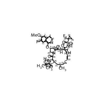 COc1cc2ccnc(O[C@@H]3C[C@H]4C(=O)N[C@]5(C(=O)NS(=O)(=O)C6(CF)CC6)C[C@H]5C=CCC[C@@H](C)C[C@@H](C)[C@H](NC(=O)C(C)(C)C(F)(F)F)C(=O)N4C3)c2cc1F